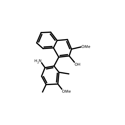 COc1cc2ccccc2c(-c2c(N)cc(C)c(OC)c2C)c1O